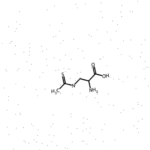 CC(=S)[N]CC(N)C(=O)O